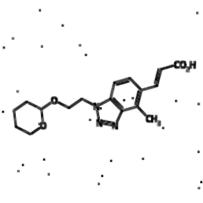 Cc1c(C=CC(=O)O)ccc2c1nnn2CCOC1CCCCO1